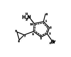 Cc1cc(Br)cc(C2CC2)c1N